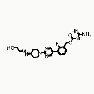 N=C(N)NC(=O)OCc1cccc(-c2cnc(N3CCC(=NOCCO)CC3)nc2)c1F